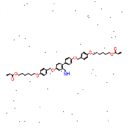 C=CC(=O)OCCCCCCOc1ccc(COc2ccc(-c3ccc(OCc4ccc(OCCCCCCOC(=O)C=C)cc4)cc3C=N)cc2)cc1